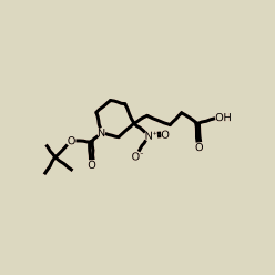 CC(C)(C)OC(=O)N1CCCC(CCCC(=O)O)([N+](=O)[O-])C1